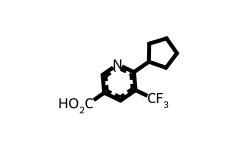 O=C(O)c1cnc(C2CCCC2)c(C(F)(F)F)c1